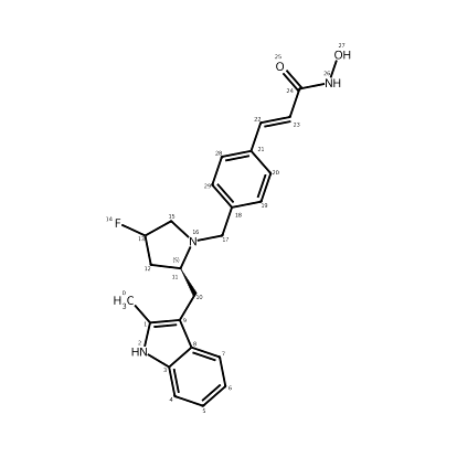 Cc1[nH]c2ccccc2c1C[C@H]1CC(F)CN1Cc1ccc(C=CC(=O)NO)cc1